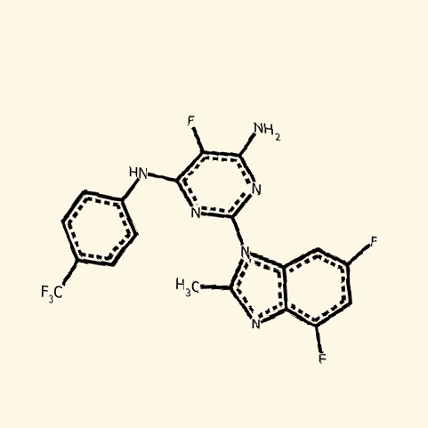 Cc1nc2c(F)cc(F)cc2n1-c1nc(N)c(F)c(Nc2ccc(C(F)(F)F)cc2)n1